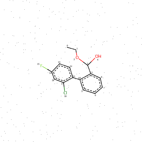 CCOC(O)c1ccccc1-c1ccc(F)cc1Cl